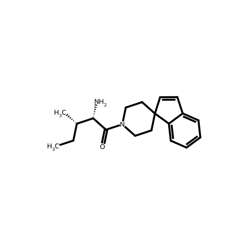 CC[C@H](C)[C@H](N)C(=O)N1CCC2(C=Cc3ccccc32)CC1